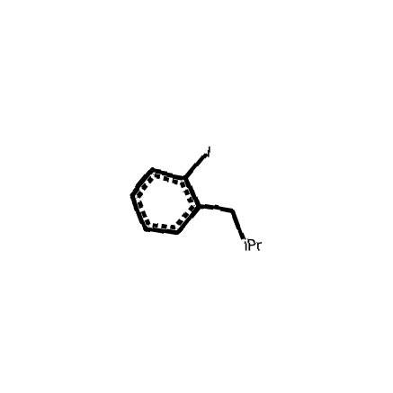 CC(C)Cc1ccccc1I